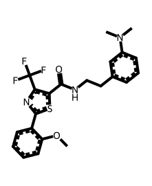 COc1ccccc1-c1nc(C(F)(F)F)c(C(=O)NCCc2cccc(N(C)C)c2)s1